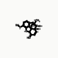 CCOc1ccc2c3c1OC1C(O)C=C[C@H]4[C@@H](C2)N(C)CC[C@]314